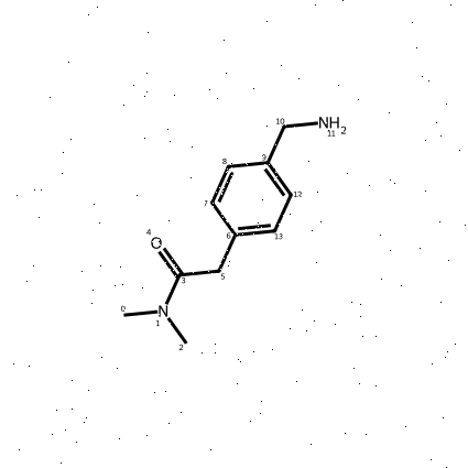 CN(C)C(=O)Cc1ccc(CN)cc1